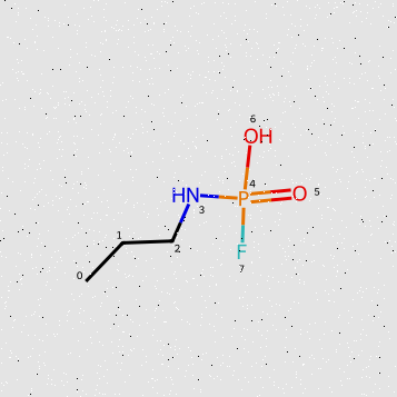 CCCNP(=O)(O)F